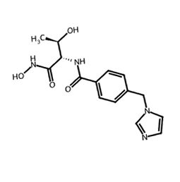 C[C@@H](O)[C@H](NC(=O)c1ccc(Cn2ccnc2)cc1)C(=O)NO